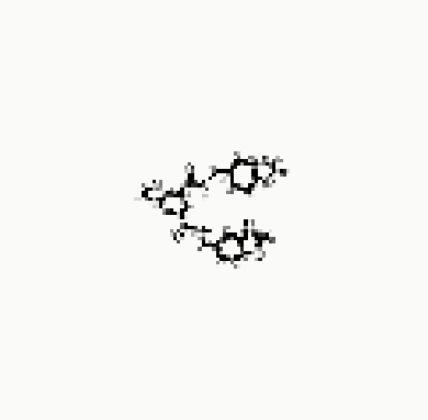 O=C(NCc1ccc2oc(=O)[nH]c2c1)c1cc(C(=O)NCc2ccc3c(c2)OC(F)(F)O3)n2nccc2n1